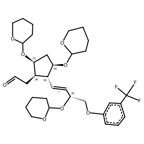 O=CC[C@@H]1[C@@H](/C=C/[C@H](COc2cccc(C(F)(F)F)c2)OC2CCCCO2)[C@H](OC2CCCCO2)C[C@@H]1OC1CCCCO1